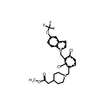 COC(=O)CC1CCN(Cc2ccc(Cl)c(Cn3ccc4cc(OC(F)(F)F)ccc43)c2Cl)CC1